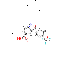 O=C(O)c1ccc2noc(-c3ccc(OC(F)(F)F)cc3)c2c1